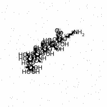 CC(=O)N[C@H]1C(O[C@@H]2OC(CO)[C@H](O)C(O)[C@@H]2O[C@@H]2OC(C)[C@@H](O)C(O)[C@@H]2O)[C@@H](O)C(CO)O[C@H]1O[C@@H]1C(O)[C@@H](O[C@H]2C(CO)O[C@@H](O[C@@H]3C(C[N+](=O)[O-])O[C@@H](OCCCCCN)[C@@H](O)C3O)[C@@H](O)C2O)OC(CO)[C@@H]1O